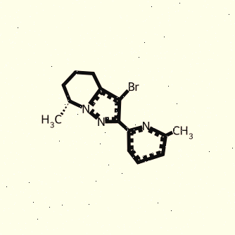 Cc1cccc(-c2nn3c(c2Br)CCC[C@H]3C)n1